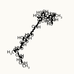 CCNC(=O)CNC(=O)CNC(=O)CN(CC(C)=O)C(=O)CNC(=O)CNC(=O)CN(CC(=O)O)C(=O)CNC(=O)CNC(=O)CCCCC(=O)NCCCO[C@@H]1OC(CO)[C@@H](O[C@@H]2OC(CO[C@]3(C(=O)O)C[C@@H](O)[C@@H](NC(C)=O)C(C(O)C(O)CO)O3)[C@H](O)C(O)[C@@H]2O)C(O)[C@@H]1C